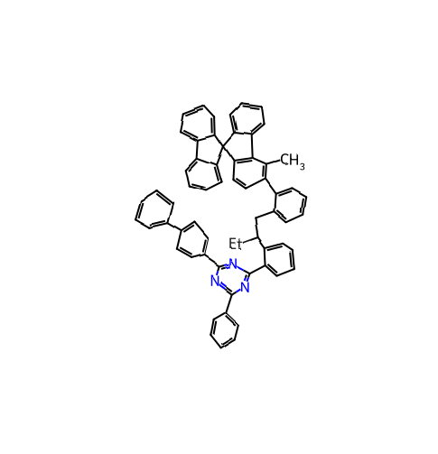 CCC(Cc1ccccc1-c1ccc2c(c1C)-c1ccccc1C21c2ccccc2-c2ccccc21)c1ccccc1-c1nc(-c2ccccc2)nc(-c2ccc(-c3ccccc3)cc2)n1